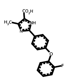 Cc1nc(-c2ccc(Oc3ccccc3F)cc2)[nH]c1C(=O)O